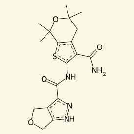 CC1(C)Cc2c(sc(NC(=O)c3n[nH]c4c3COC4)c2C(N)=O)C(C)(C)O1